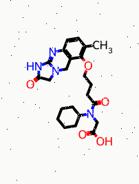 Cc1ccc2c(c1OCCCC(=O)N(CC(=O)O)C1CCCCC1)CN1CC(=O)NC1=N2